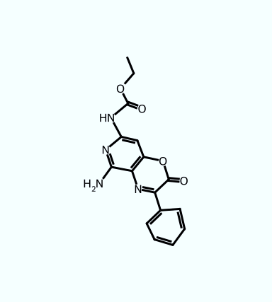 CCOC(=O)Nc1cc2oc(=O)c(-c3ccccc3)nc2c(N)n1